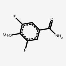 COc1c(F)cc(C(N)=O)cc1F